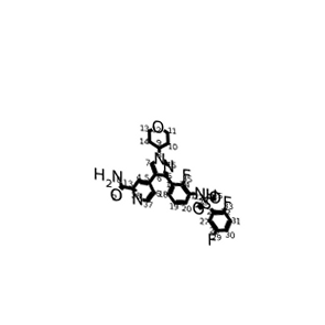 NC(=O)c1cc(-c2cn(C3CCOCC3)nc2-c2cccc(NS(=O)(=O)c3cc(F)ccc3F)c2F)ccn1